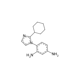 Nc1ccc(-n2ccnc2C2CCCCC2)c(N)c1